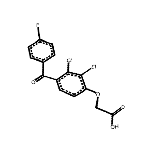 O=C(O)COc1ccc(C(=O)c2ccc(F)cc2)c(Cl)c1Cl